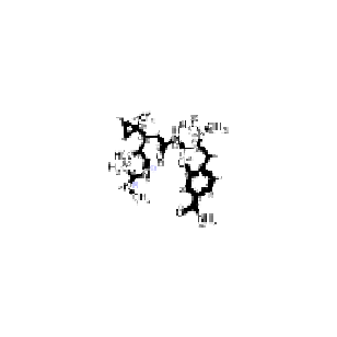 C=C(/C=N\C(C)=N/C)[C@H](CC(=O)NC[C@H](Cc1ccc(C(N)=O)cc1Cl)N(C)C)C1(C(F)(F)F)CC1